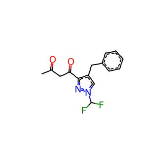 CC(=O)CC(=O)c1nn(C(F)F)cc1Cc1ccccc1